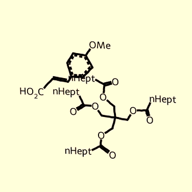 CCCCCCCC(=O)OCC(COC(=O)CCCCCCC)(COC(=O)CCCCCCC)COC(=O)CCCCCCC.COc1ccc(C=CC(=O)O)cc1